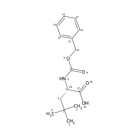 CC(C)(C)C[C@H](NC(=O)OCc1ccccc1)C(=O)O